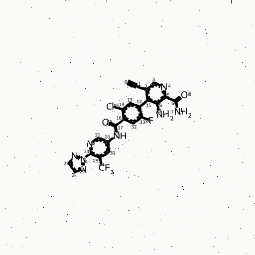 C#Cc1cnc(C(N)=O)c(N)c1-c1cc(Cl)c(C(=O)Nc2cnc(-n3nccn3)c(C(F)(F)F)c2)cc1F